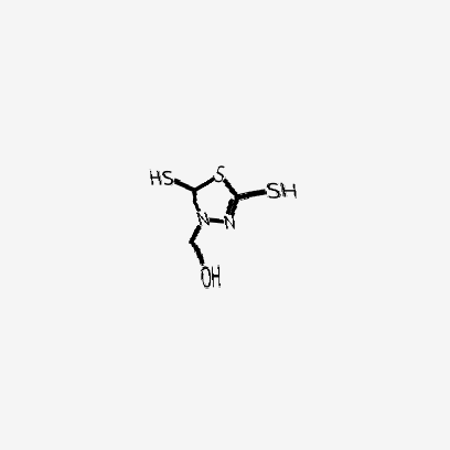 OCN1N=C(S)SC1S